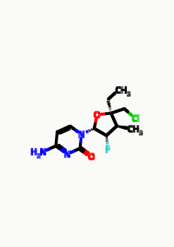 CC[C@@]1(CCl)O[C@@H](n2ccc(N)nc2=O)[C@@H](F)[C@@H]1C